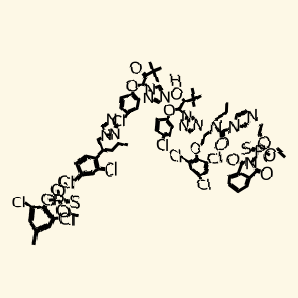 CC(C)(C)C(=O)C(Oc1ccc(Cl)cc1)n1cncn1.CC(C)(C)C(O)C(Oc1ccc(Cl)cc1)n1cncn1.CCCC(Cn1cncn1)c1ccc(Cl)cc1Cl.CCCN(CCOc1c(Cl)cc(Cl)cc1Cl)C(=O)n1ccnc1.CCOP(=S)(OCC)N1C(=O)c2ccccc2C1=O.COP(=S)(OC)Oc1c(Cl)cc(C)cc1Cl